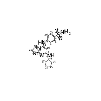 NS(=O)(=O)c1ccc(Nc2cc(NC3CCCC3)nc3ncnn23)cc1